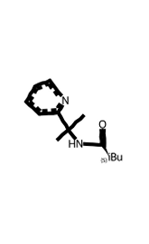 CC[C@H](C)C(=O)NC(C)(C)c1ccccn1